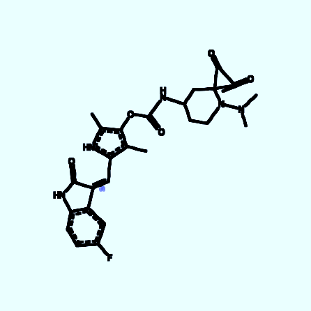 Cc1[nH]c(/C=C2\C(=O)Nc3ccc(F)cc32)c(C)c1OC(=O)NC1CCN(N(C)C)C2(C1)C(=O)C2=O